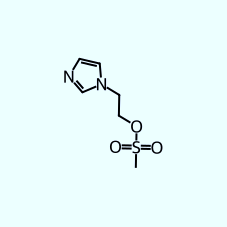 CS(=O)(=O)OCCn1ccnc1